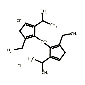 CCC1=[C]([Zr+2][C]2=C(CC)CC=C2C(C)C)C(C(C)C)=CC1.[Cl-].[Cl-]